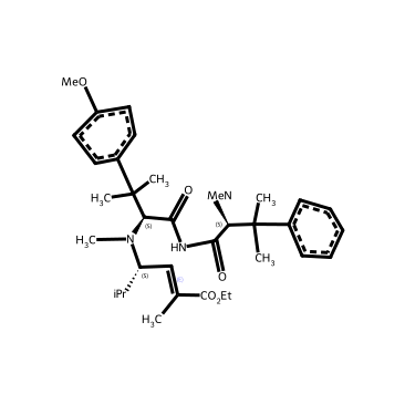 CCOC(=O)/C(C)=C/[C@H](C(C)C)N(C)[C@H](C(=O)NC(=O)[C@@H](NC)C(C)(C)c1ccccc1)C(C)(C)c1ccc(OC)cc1